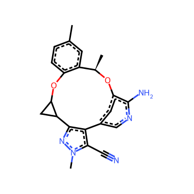 Cc1ccc2c(c1)[C@@H](C)Oc1cc(cnc1N)-c1c(nn(C)c1C#N)C1CC1O2